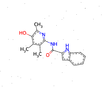 Cc1nc(NC(=O)c2cc3ccccc3[nH]2)c(C)c(C)c1O